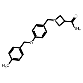 Cc1ccc(COc2ccc(CN3CC(C(N)=O)C3)cc2)cc1